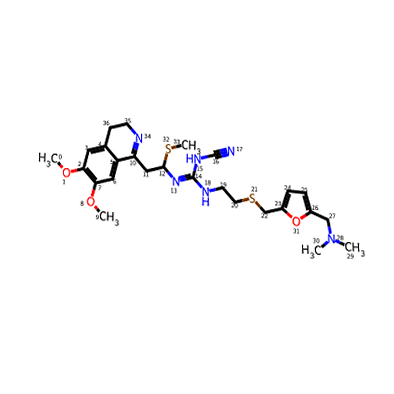 COc1cc2c(cc1OC)C(CC(N=C(NC#N)NCCSCc1ccc(CN(C)C)o1)SC)=NCC2